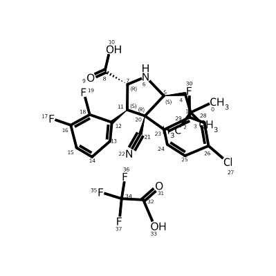 CC(C)(C)C[C@@H]1N[C@@H](C(=O)O)[C@H](c2cccc(F)c2F)[C@@]1(C#N)c1ccc(Cl)cc1F.O=C(O)C(F)(F)F